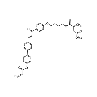 C=CC(=O)Oc1ccc(-c2ccc(/C=C/C(=O)c3ccc(OCCCCOC(=O)C(=C)CC(=O)OC)cc3)cc2)cc1